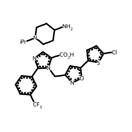 CC(C)N1CCC(N)CC1.O=C(O)c1cnc(-c2cccc(C(F)(F)F)c2)n1Cc1cc(-c2ccc(Cl)s2)on1